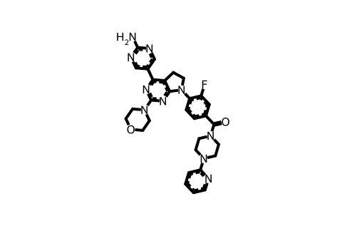 Nc1ncc(-c2nc(N3CCOCC3)nc3c2CCN3c2ccc(C(=O)N3CCN(c4ccccn4)CC3)cc2F)cn1